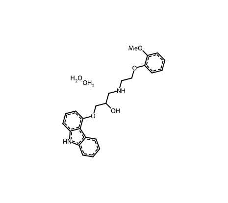 COc1ccccc1OCCNCC(O)COc1cccc2[nH]c3ccccc3c12.O.O